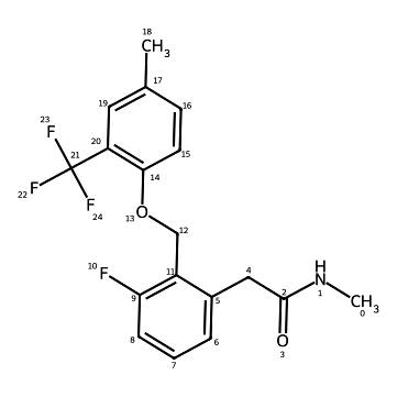 CNC(=O)Cc1cccc(F)c1COc1ccc(C)cc1C(F)(F)F